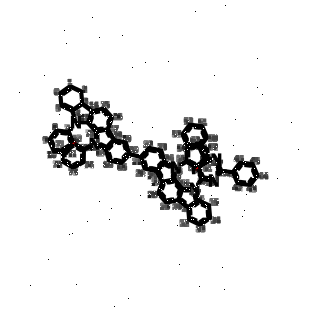 C1=CCC2C(=C1)N(c1ccccc1)c1c2ccc2c3cc(-c4ccc5c(c4)c4ccc6c7ccccc7n(-c7nc(-c8ccccc8)nc(-c8ccccc8)n7)c6c4n5-c4ccccc4)ccc3n(-c3ccccc3)c12